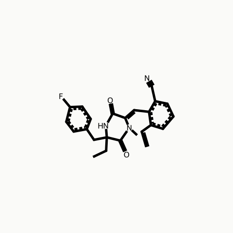 C=Cc1cccc(C#N)c1C=C1C(=O)NC(CC)(Cc2ccc(F)cc2)C(=O)N1C